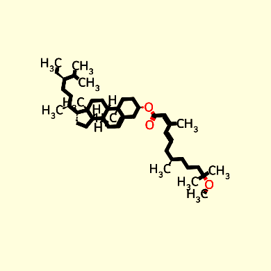 CC[C@H](CC[C@@H](C)[C@H]1CC[C@H]2[C@@H]3CC=C4C[C@@H](OC(=O)/C=C(C)\C=C\C[C@@H](C)CCCC(C)(C)OC)CC[C@]4(C)[C@H]3CC[C@]12C)C(C)C